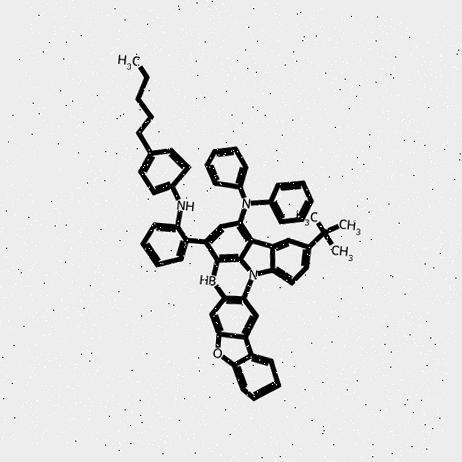 CCCCCc1ccc(Nc2ccccc2-c2cc(N(c3ccccc3)c3ccccc3)c3c4cc(C(C)(C)C)ccc4n4c3c2Bc2cc3oc5ccccc5c3cc2-4)cc1